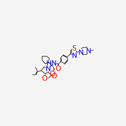 CC=C(C)C1CN(C(C=O)(NC(=O)c2ccc(-c3csc(N4CCN(C)CC4)n3)cc2)C2CCCCC2)C2C(=O)COC12